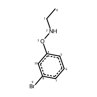 CCNOc1cccc(Br)c1